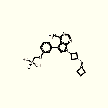 Nc1ncnc2c1c(-c1cccc(OCP(=O)(O)O)c1)cn2[C@H]1C[C@@H](CN2CCC2)C1